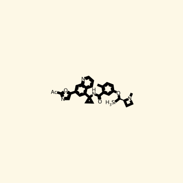 CC(=O)c1ncc(-c2cc(C3(NC(=O)c4cc(OC([SiH3])[C@@H]5CCN5C)ccc4C)CC3)c3cccnc3c2)o1